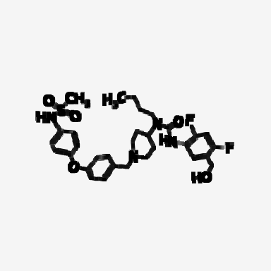 CCCCN(C(=O)Nc1cc(CO)c(F)cc1F)C1CCN(Cc2ccc(Oc3ccc(NS(C)(=O)=O)cc3)cc2)CC1